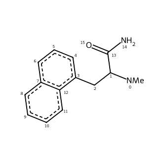 CNC(Cc1cccc2ccccc12)C(N)=O